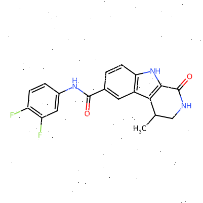 CC1CNC(=O)c2[nH]c3ccc(C(=O)Nc4ccc(F)c(F)c4)cc3c21